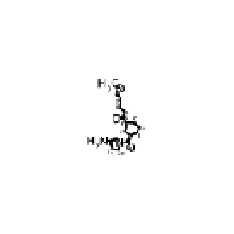 COCCCCC(=O)c1cccc(C(=O)N2CCC(N)C2)c1